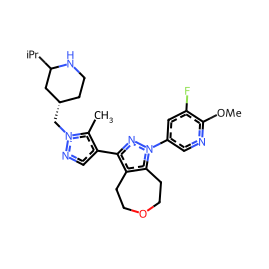 COc1ncc(-n2nc(-c3cnn(C[C@H]4CCNC(C(C)C)C4)c3C)c3c2CCOCC3)cc1F